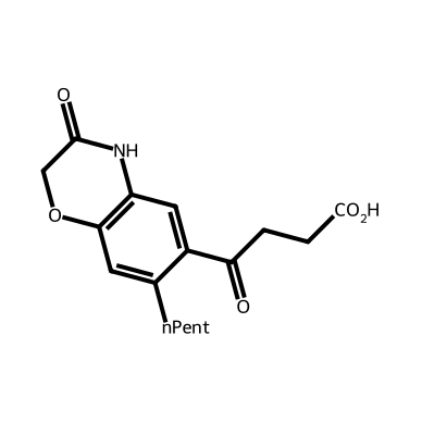 CCCCCc1cc2c(cc1C(=O)CCC(=O)O)NC(=O)CO2